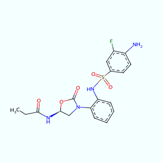 CCC(=O)N[C@@H]1CN(c2ccccc2NS(=O)(=O)c2ccc(N)c(F)c2)C(=O)O1